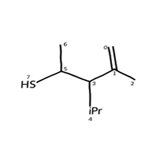 C=C(C)C(C(C)C)C(C)S